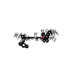 CC[N+]1=c2cc3c(cc2C(C)CC1(C)C)=C(c1ccccc1C(=O)N(C)CCCC(=O)NCCOCCOCCC(NCCC(=O)C1Cc2ccccc2C#Cc2ccccc21)=C1C(=O)CC(C)(C)CC1=O)c1cc2c4c(c1C3(C)C)CCCN4CCC2